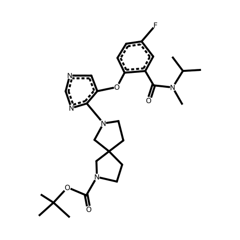 CC(C)N(C)C(=O)c1cc(F)ccc1Oc1cncnc1N1CCC2(CCN(C(=O)OC(C)(C)C)C2)C1